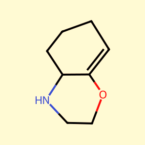 C1=C2OCCNC2CCC1